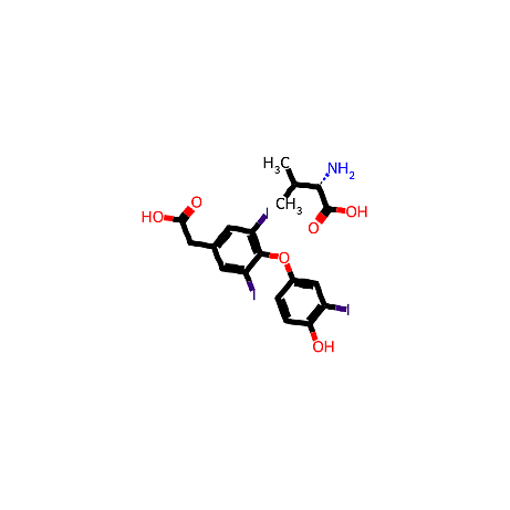 CC(C)[C@H](N)C(=O)O.O=C(O)Cc1cc(I)c(Oc2ccc(O)c(I)c2)c(I)c1